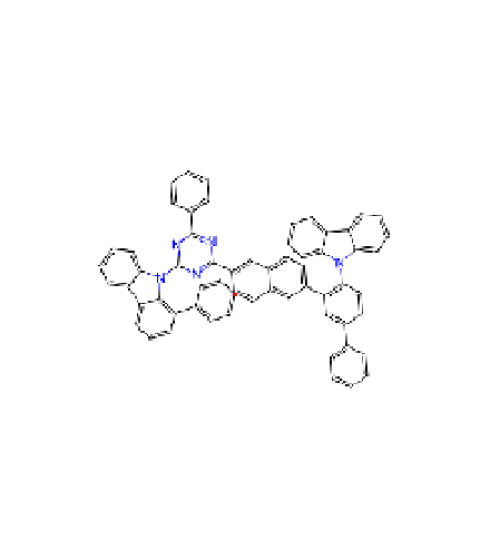 c1ccc(-c2ccc(-n3c4ccccc4c4ccccc43)c(-c3ccc4cc(-c5nc(-c6ccccc6)nc(-n6c7ccccc7c7cccc(-c8ccccc8)c76)n5)ccc4c3)c2)cc1